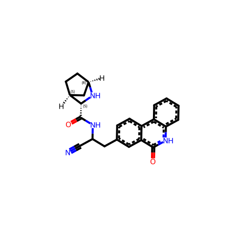 N#CC(Cc1ccc2c(c1)c(=O)[nH]c1ccccc12)NC(=O)[C@H]1N[C@@H]2CC[C@H]1C2